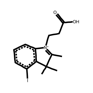 CC1=[N+](CCC(=O)O)c2cccc(I)c2C1(C)C